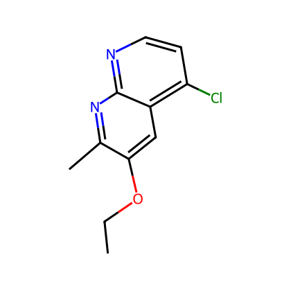 CCOc1cc2c(Cl)ccnc2nc1C